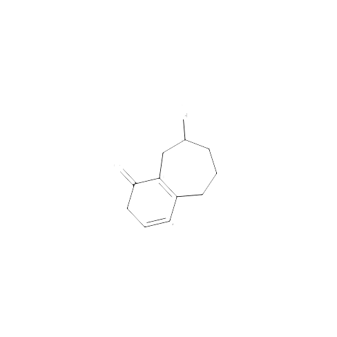 O=C1CC=CC2=C1CC(Br)CCC2